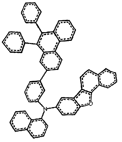 c1ccc(-c2c(-c3ccccc3)c3cc(-c4cccc(N(c5ccc6oc7c8ccccc8ccc7c6c5)c5cccc6ccccc56)c4)ccc3c3ccccc23)cc1